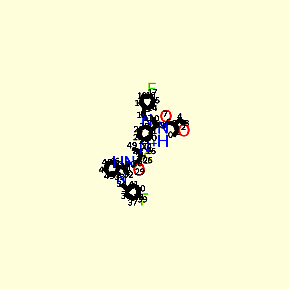 Cc1occc1C(=O)Nc1cn(Cc2ccc(F)cc2)c2ccc(-[n+]3csc(C(=O)Nc4cn(Cc5ccc(F)cc5)c5ccccc45)c3C)cc12